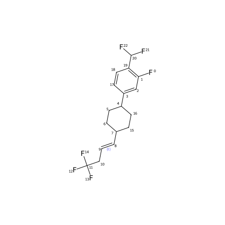 Fc1cc(C2CCC(/C=C/CC(F)(F)F)CC2)ccc1C(F)F